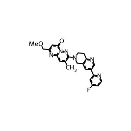 COCc1cc(=O)n2nc(N3CCc4ncc(-c5cc(F)ccn5)cc4C3)c(C)cc2n1